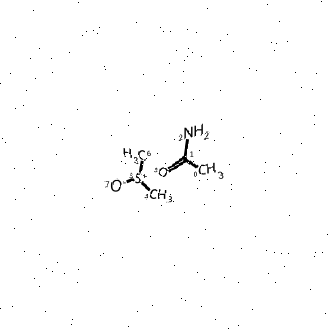 CC(N)=O.C[S+](C)[O-]